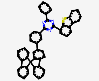 c1ccc(-c2nc(-c3cccc(-c4ccc5c(c4)C4(c6ccccc6-c6ccccc64)c4ccccc4-5)c3)nc(-c3cccc4c3sc3ccccc34)n2)cc1